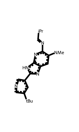 CNc1cc2nc(-c3cncc(C(C)(C)C)c3)[nH]c2nc1/N=C/C(C)C